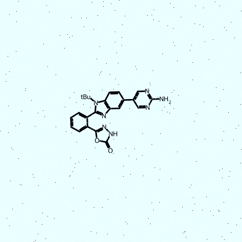 CC(C)(C)n1c(-c2ccccc2-c2n[nH]c(=O)o2)nc2cc(-c3cnc(N)nc3)ccc21